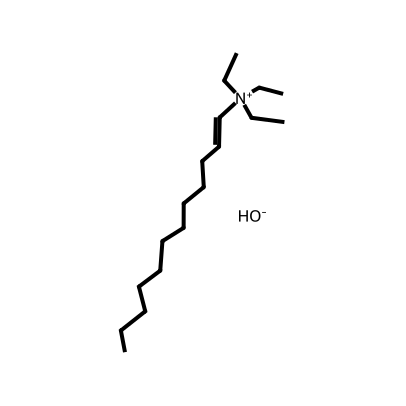 CCCCCCCCCCC=C[N+](CC)(CC)CC.[OH-]